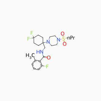 CCCS(=O)(=O)N1CCN(C2(CNC(=O)c3c(C)cccc3F)CCC(F)(F)CC2)CC1